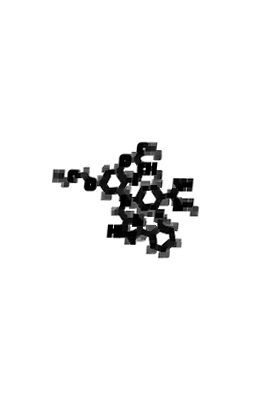 CCOc1cc(OC(C)C)c(F)c(N(Cc2nc(-c3ccccc3F)n[nH]2)c2ccc(C(=N)N)cc2)c1